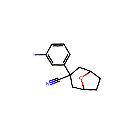 N#CC1(c2cccc(I)c2)CC2CCC(C1)O2